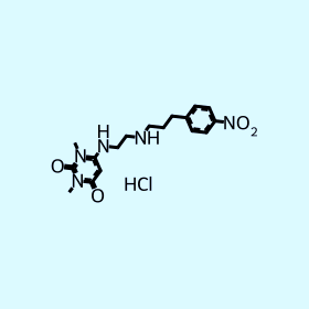 Cl.Cn1c(NCCNCCCc2ccc([N+](=O)[O-])cc2)cc(=O)n(C)c1=O